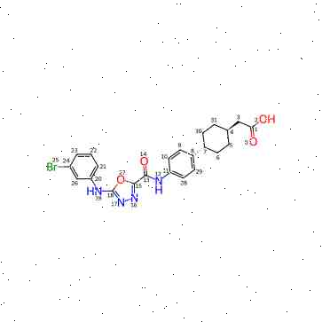 O=C(O)C[C@H]1CC[C@H](c2ccc(NC(=O)c3nnc(Nc4cccc(Br)c4)o3)cc2)CC1